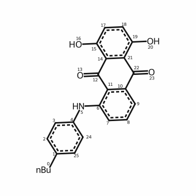 CCCCc1ccc(Nc2cccc3c2C(=O)c2c(O)ccc(O)c2C3=O)cc1